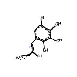 O=C(O)/C(O)=C/c1cc(O)c(O)c(O)c1O